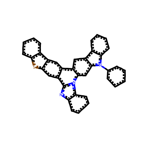 c1ccc(-n2c3ccccc3c3cc4c5cc6c(cc5c5nc7ccccc7n5c4cc32)sc2ccccc26)cc1